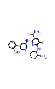 CC(C)COc1ccccc1-c1cncc(Nc2nc(N[C@@H]3CCCC[C@@H]3N)c(F)cc2C(N)=O)c1